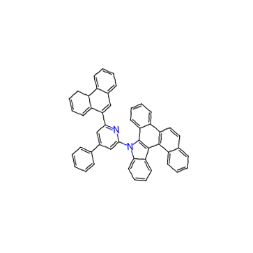 C1=CCC2C(=C1)C(c1cc(-c3ccccc3)cc(-n3c4ccccc4c4c5c6ccccc6ccc5c5ccccc5c43)n1)=Cc1ccccc12